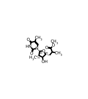 COC(=O)C(C)C[C@H]1O[C@@H](n2cc(C)c(=O)[nH]c2=O)[C@@H](C)C1O